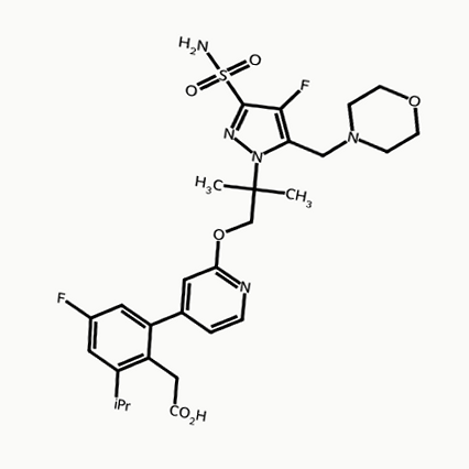 CC(C)c1cc(F)cc(-c2ccnc(OCC(C)(C)n3nc(S(N)(=O)=O)c(F)c3CN3CCOCC3)c2)c1CC(=O)O